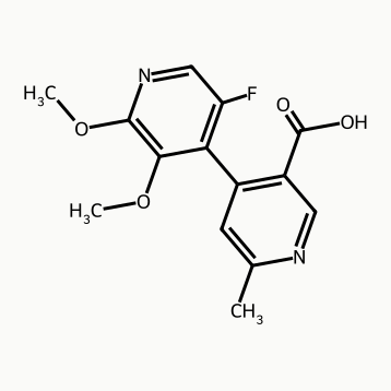 COc1ncc(F)c(-c2cc(C)ncc2C(=O)O)c1OC